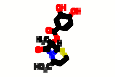 CC1(OC(=O)c2ccc(O)c(O)c2)C(=O)N2C(C(=O)O)=CCS[C@H]21